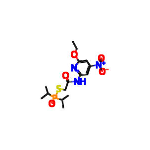 CCOc1cc([N+](=O)[O-])cc(NC(=O)CSP(=O)(C(C)C)C(C)C)n1